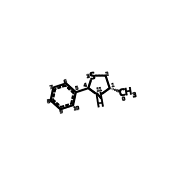 C[C@H]1CSC(c2ccccc2)N1